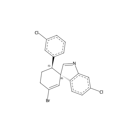 Clc1cccc([C@@H]2CCC(Br)=C[C@]23C=Nc2cc(Cl)ccc23)c1